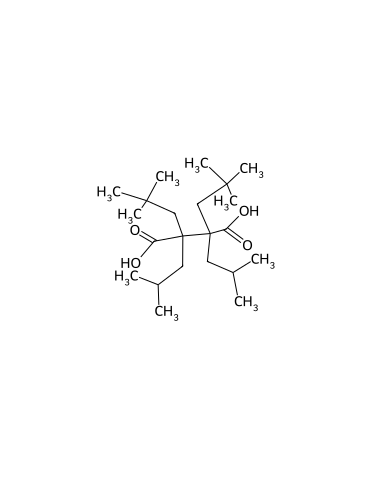 CC(C)CC(CC(C)(C)C)(C(=O)O)C(CC(C)C)(CC(C)(C)C)C(=O)O